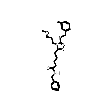 COCCCn1c(CCCCC(=O)NCc2ccccc2)nnc1SCc1cccc(C)c1